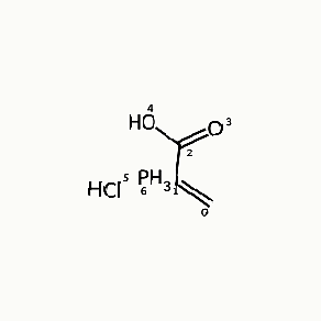 C=CC(=O)O.Cl.P